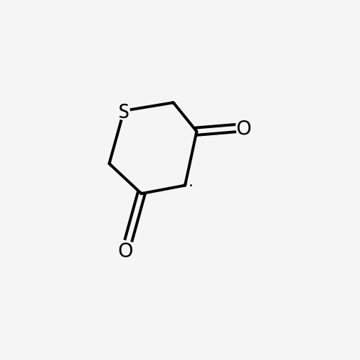 O=C1[CH]C(=O)CSC1